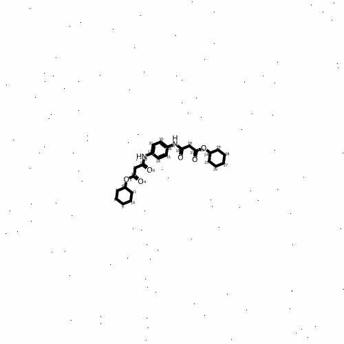 O=C(CC(=O)OC1CCCCC1)Nc1ccc(NC(=O)CC(=O)OC2CCCCC2)cc1